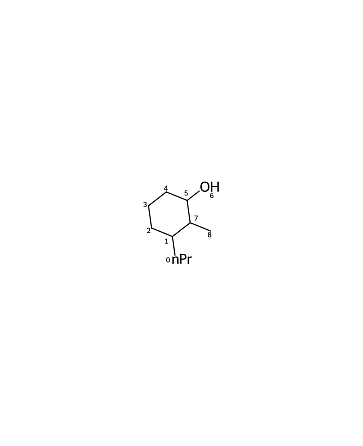 CCCC1CCCC(O)C1C